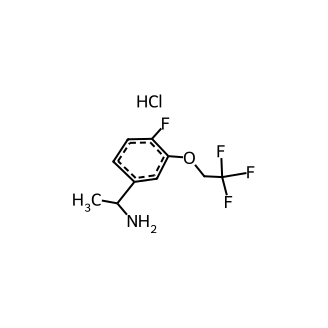 CC(N)c1ccc(F)c(OCC(F)(F)F)c1.Cl